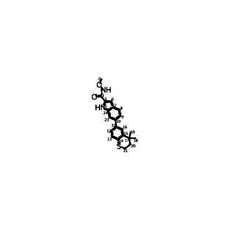 CONC(=O)c1cc2ccc(-c3ccc4c(c3)C(C)(C)CCS4)cc2[nH]1